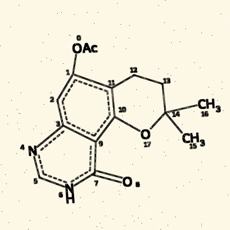 CC(=O)Oc1cc2nc[nH]c(=O)c2c2c1CCC(C)(C)O2